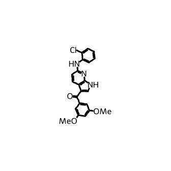 COc1cc(OC)cc(C(=O)c2c[nH]c3nc(Nc4ccccc4Cl)ccc23)c1